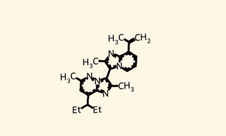 C=C(C)c1cccn2c(-c3c(C)nc4c(C(CC)CC)cc(C)nn34)c(C)nc12